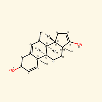 CC1C=C2CC(O)C=C[C@]2(C)[C@@H]2CC[C@]3(C)C(O)=CC[C@H]3[C@H]12